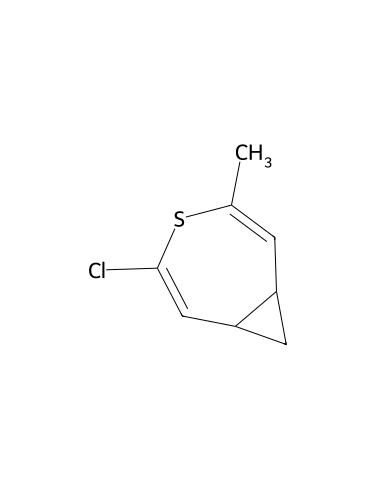 CC1=CC2CC2C=C(Cl)S1